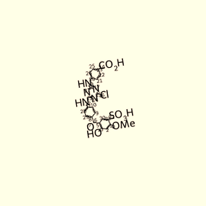 COc1cc(O)c(C(=O)c2ccc(Nc3nc(Cl)nc(Nc4ccc(C(=O)O)cc4)n3)cc2)cc1S(=O)(=O)O